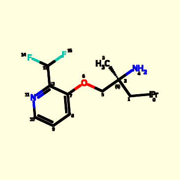 CC(C)C[C@](C)(N)COc1cccnc1C(F)F